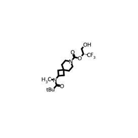 CN(C(=O)C(C)(C)C)C1CC2(CCN(C(=O)O[C@H](CO)C(F)(F)F)CC2)C1